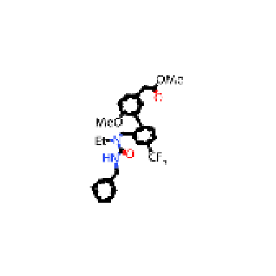 CCN(Cc1cc(C(F)(F)F)ccc1-c1cc(CC(=O)OC)ccc1OC)C(=O)NCc1ccccc1